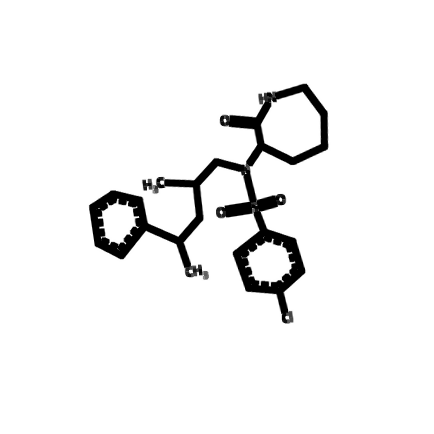 CC(CC(C)c1ccccc1)CN(C1CCCCNC1=O)S(=O)(=O)c1ccc(Cl)cc1